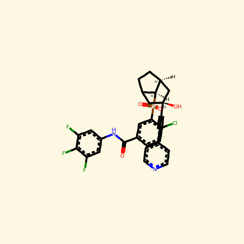 O=C(Nc1cc(F)c(F)c(F)c1)c1ccc(Cl)c(S(=O)(=O)[C@H]2C3CC[C@H]2C[C@](O)(C#Cc2ccncc2)C3)c1